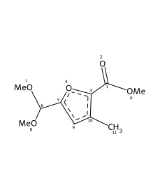 COC(=O)c1oc(C(OC)OC)cc1C